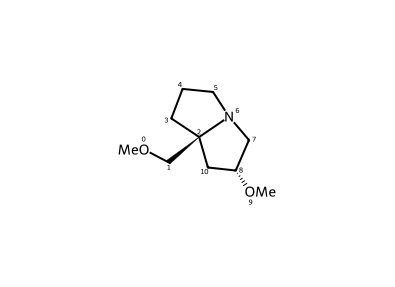 COC[C@@]12CCCN1C[C@H](OC)C2